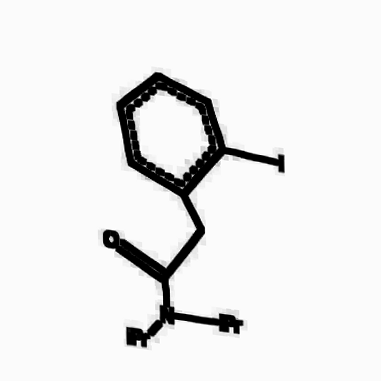 CC(C)N(C(=O)Cc1ccccc1I)C(C)C